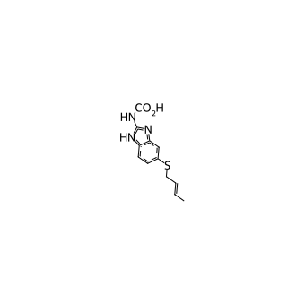 CC=CCSc1ccc2[nH]c(NC(=O)O)nc2c1